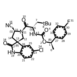 C[C@@H](OC(=O)N[C@@H](CC(C)(C)C)C(=O)N1C[C@]2(C[C@H]1C#N)C(=O)Nc1ccc(Cl)cc12)c1ccc(F)cc1